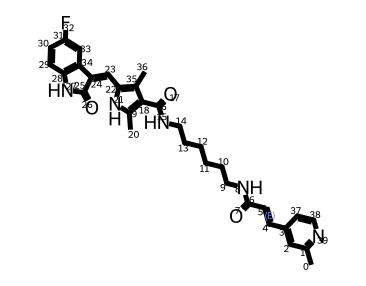 Cc1cc(/C=C/C(=O)NCCCCCCNC(=O)c2c(C)[nH]c(C=C3C(=O)Nc4ccc(F)cc43)c2C)ccn1